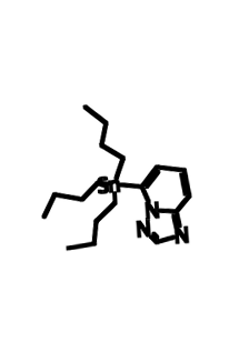 CCC[CH2][Sn]([CH2]CCC)([CH2]CCC)[c]1cccc2ncnn12